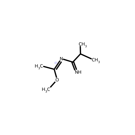 CO/C(C)=N\C(=N)C(C)C